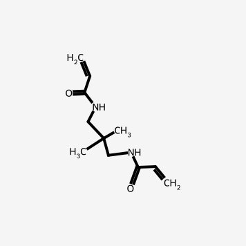 C=CC(=O)NCC(C)(C)CNC(=O)C=C